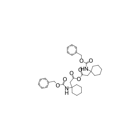 O=C(CC1(NC(=O)OCc2ccccc2)CCCCC1)OC(=O)CC1(NC(=O)OCc2ccccc2)CCCCC1